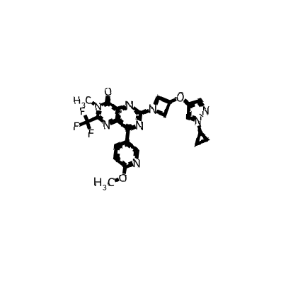 COc1ccc(-c2nc(N3CC(Oc4cnn(C5CC5)c4)C3)nc3c(=O)n(C)c(C(F)(F)F)nc23)cn1